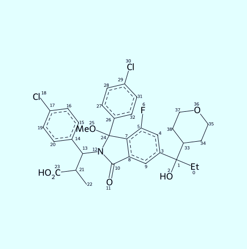 CCC(O)(c1cc(F)c2c(c1)C(=O)N(C(c1ccc(Cl)cc1)C(C)C(=O)O)C2(OC)c1ccc(Cl)cc1)C1CCOCC1